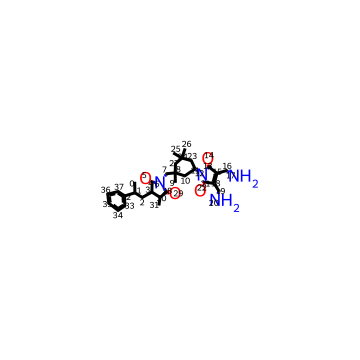 CC(CC1C(=O)N(CC2(C)CC(N3C(=O)C(CN)=C(CN)C3=O)CC(C)(C)C2)C(=O)C1C)c1ccccc1